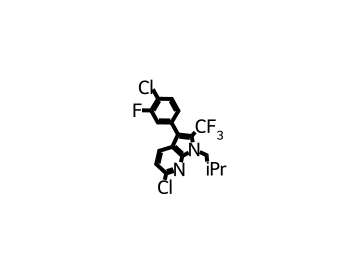 CC(C)Cn1c(C(F)(F)F)c(-c2ccc(Cl)c(F)c2)c2ccc(Cl)nc21